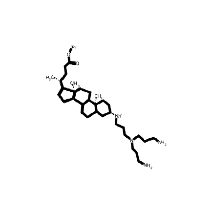 CC(C)OC(=O)CC[C@@H](C)C1CCC2C3CCC4C[C@@H](NCCCN(CCCN)CCCN)CC[C@]4(C)C3CC[C@@]21C